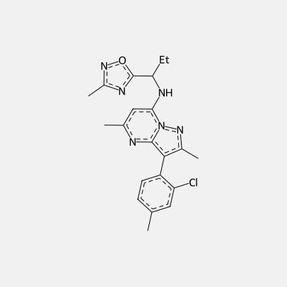 CCC(Nc1cc(C)nc2c(-c3ccc(C)cc3Cl)c(C)nn12)c1nc(C)no1